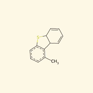 Cc1cccc2c1C1C=CC=CC1S2